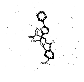 COc1ccc2c(c1)CN(CC1(c3ccc(-c4ccccc4)[nH]3)NC(=O)NC1=O)C2=O